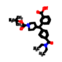 CCN(CC)C(=O)c1ccc(C(=C2CCN(C(=O)OC(C)(C)C)CC2)c2cccc(C(=O)O)c2)cc1